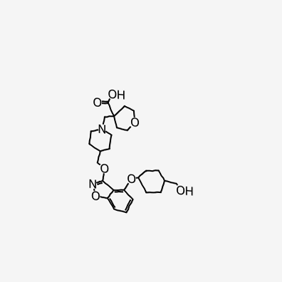 O=C(O)C1(CN2CCC(COc3noc4cccc(OC5CCC(CO)CC5)c34)CC2)CCOCC1